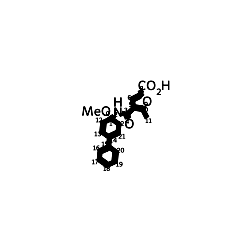 COC1(NC(=O)c2cc(C(=O)O)oc2C)C=CC(c2ccccc2)=CC1